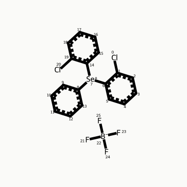 Clc1ccccc1[Se+](c1ccccc1)c1ccccc1Cl.F[B-](F)(F)F